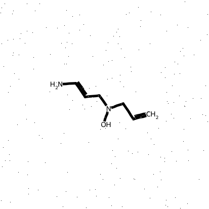 C=CCN(O)CC=CN